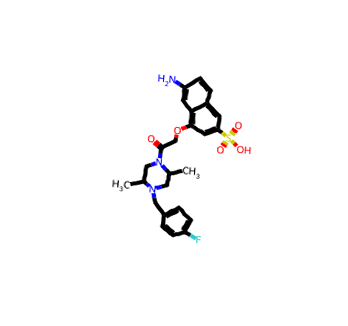 CC1CN(C(=O)COc2cc(S(=O)(=O)O)cc3ccc(N)cc23)C(C)CN1Cc1ccc(F)cc1